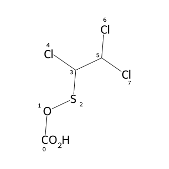 O=C(O)OSC(Cl)C(Cl)Cl